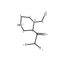 O=C(C(F)F)C1CNCCN1CCl